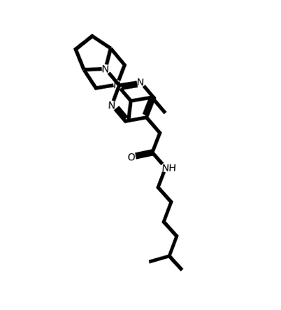 CCC(C)N1CC2CCC(C1)N2c1ncc(CC(=O)NCCCCC(C)C)cn1